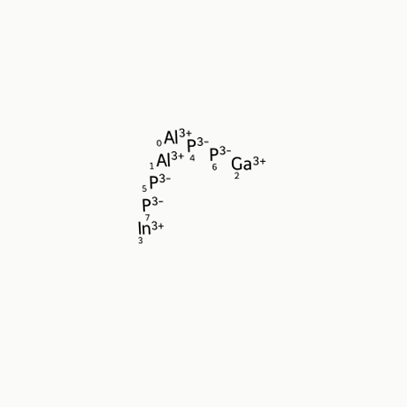 [Al+3].[Al+3].[Ga+3].[In+3].[P-3].[P-3].[P-3].[P-3]